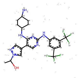 CC(O)n1cc(-c2cnc(Nc3cc(C(F)(F)F)cc(C(F)(F)F)c3)nc2NC2CCC(N)CC2)cn1